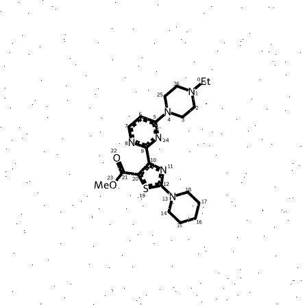 CCN1CCN(c2ccnc(-c3nc(N4CCCCC4)sc3C(=O)OC)n2)CC1